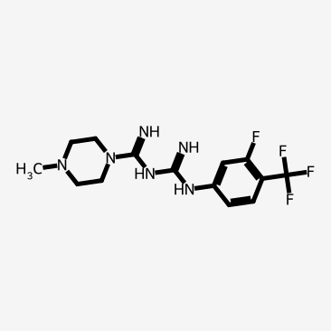 CN1CCN(C(=N)NC(=N)Nc2ccc(C(F)(F)F)c(F)c2)CC1